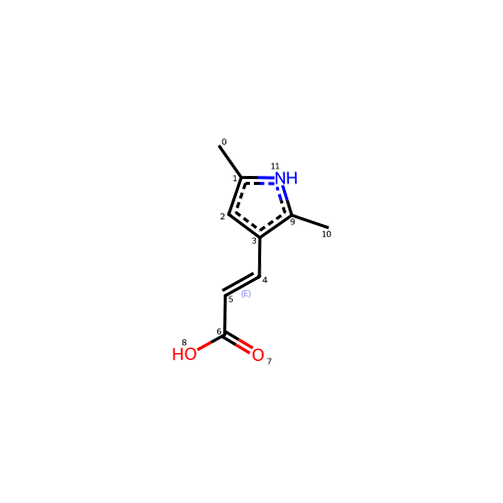 Cc1cc(/C=C/C(=O)O)c(C)[nH]1